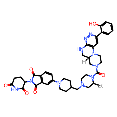 CCC1CN(CC2CCN(c3ccc4c(c3)C(=O)N(C3CCC(=O)NC3=O)C4=O)CC2)CCN1C(=O)N1CCN2c3cc(-c4ccccc4O)nnc3NC[C@H]2C1